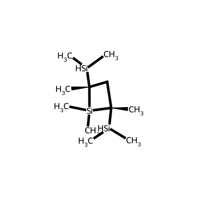 C[SiH](C)[C@]1(C)C[C@](C)([SiH](C)C)[Si]1(C)C